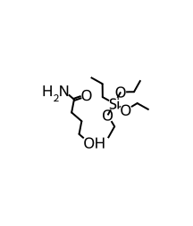 CCC[Si](OCC)(OCC)OCC.NC(=O)CCCO